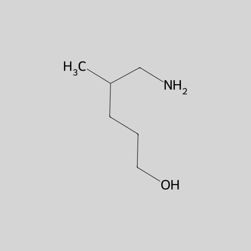 CC(CN)CCCO